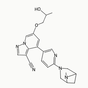 CC(O)COc1cc(-c2ccc(N3CC4CC(C3)N4C)nc2)c2c(C#N)cnn2c1